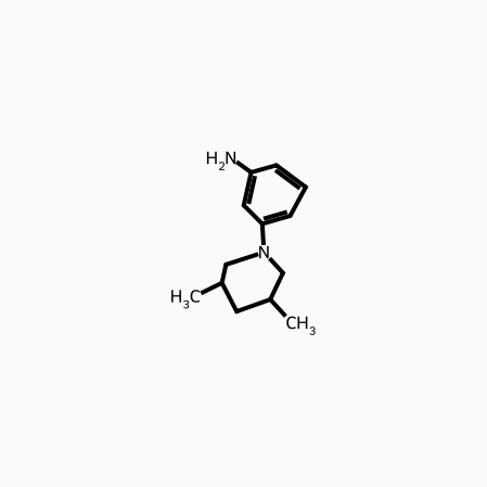 CC1CC(C)CN(c2cccc(N)c2)C1